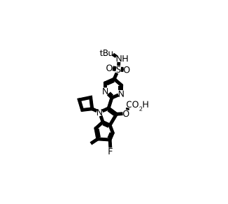 Cc1cc2c(cc1F)c(OC(=O)O)c(-c1ncc(S(=O)(=O)NC(C)(C)C)cn1)n2C1CCC1